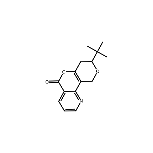 CC(C)(C)C1Cc2oc(=O)c3cccnc3c2CO1